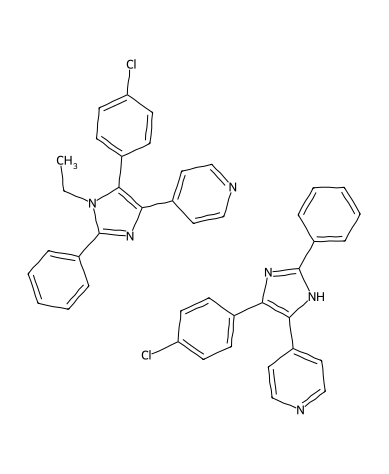 CCn1c(-c2ccccc2)nc(-c2ccncc2)c1-c1ccc(Cl)cc1.Clc1ccc(-c2nc(-c3ccccc3)[nH]c2-c2ccncc2)cc1